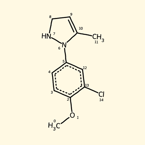 COc1ccc(N2NCC=C2C)cc1Cl